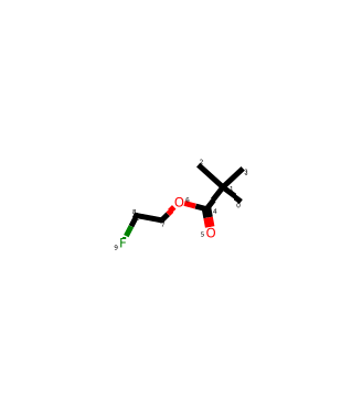 CC(C)(C)C(=O)OCCF